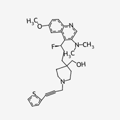 COc1ccc2ncc(N(C)C)c([C@H](F)CCC3(CO)CCN(CC#Cc4cccs4)CC3)c2c1